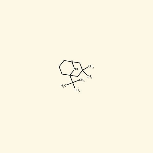 CC1(C)CN2CCCC(C(C)(C)C)(C1)N2